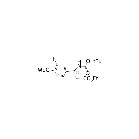 CCOC(=O)C[C@@H](NC(=O)OC(C)(C)C)c1ccc(OC)c(F)c1